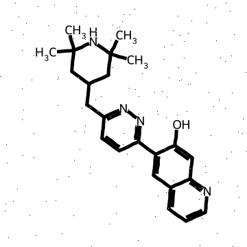 CC1(C)CC(Cc2ccc(-c3cc4cccnc4cc3O)nn2)CC(C)(C)N1